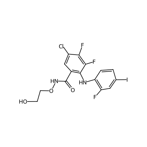 O=C(NOCCO)c1cc(Cl)c(F)c(F)c1Nc1ccc(I)cc1F